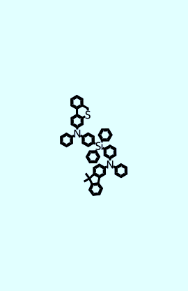 CC1(C)c2ccccc2-c2cc(N(c3ccccc3)c3cccc([Si](c4ccccc4)(c4ccccc4)c4ccc(N(c5ccccc5)c5ccc6c(c5)SCc5ccccc5-6)cc4)c3)ccc21